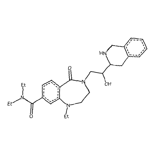 CCN(CC)C(=O)c1ccc2c(c1)N(CC)CCN(CC(O)C1Cc3ccccc3CN1)C2=O